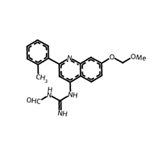 COCOc1ccc2c(NC(=N)NC=O)cc(-c3ccccc3C)nc2c1